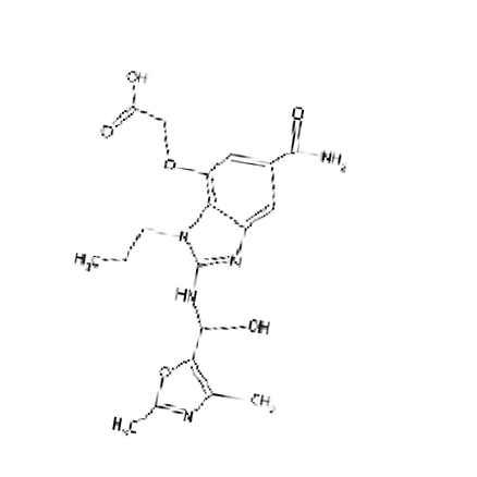 CCCn1c(NC(O)c2oc(C)nc2C)nc2cc(C(N)=O)cc(OCC(=O)O)c21